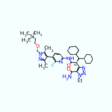 CCn1nnc([C@@H](C(=O)Nc2ccc(-c3c(C)nn(COCC[Si](C)(C)C)c3C)c(F)n2)C(C2CCCCC2)C2CCCCC2)c1C(N)=O